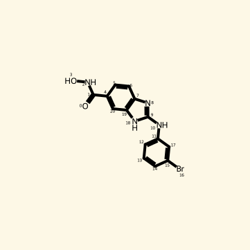 O=C(NO)c1ccc2nc(Nc3cccc(Br)c3)[nH]c2c1